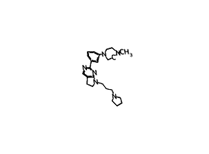 CN1CCN(c2cccc(-c3ncc4c(n3)N(CCCN3CCCC3)CC4)c2)CC1